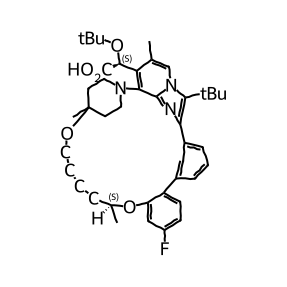 Cc1cn2c(C(C)(C)C)c3nc2c(c1[C@H](OC(C)(C)C)C(=O)O)N1CCC(C)(CC1)OCCCC[C@H](C)Oc1cc(F)ccc1-c1cccc-3c1